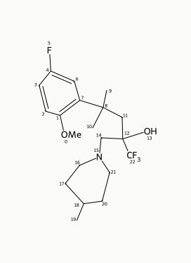 COc1ccc(F)cc1C(C)(C)CC(O)(CN1CCC(C)CC1)C(F)(F)F